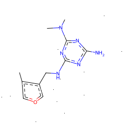 Cc1cocc1CNc1nc(N)nc(N(C)C)n1